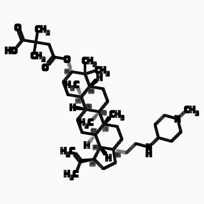 C=C(C)[C@@H]1CC[C@]2(CCNC3CCN(C)CC3)CC[C@]3(C)[C@H](CC[C@@H]4[C@@]5(C)CC[C@H](OC(=O)CC(C)(C)C(=O)O)C(C)(C)[C@@H]5CC[C@]43C)[C@@H]12